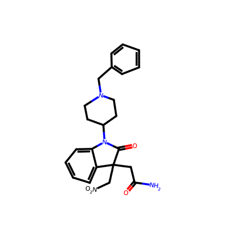 NC(=O)CC1(C[N+](=O)[O-])C(=O)N(C2CCN(Cc3ccccc3)CC2)c2ccccc21